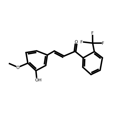 COc1ccc(/C=C/C(=O)c2ccccc2C(F)(F)F)cc1O